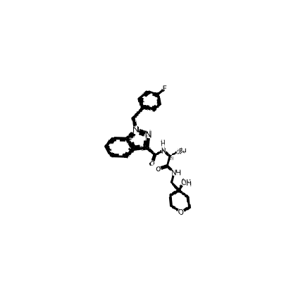 CC(C)(C)[C@H](NC(=O)c1nn(Cc2ccc(F)cc2)c2ccccc12)C(=O)NCC1(O)CCOCC1